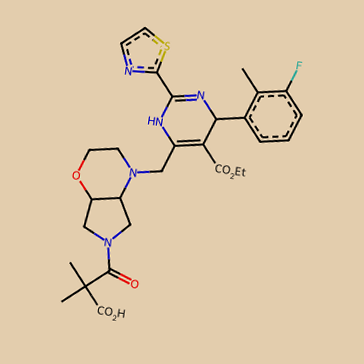 CCOC(=O)C1=C(CN2CCOC3CN(C(=O)C(C)(C)C(=O)O)CC32)NC(c2nccs2)=NC1c1cccc(F)c1C